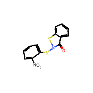 O=c1c2ccccc2sn1Sc1ccccc1[N+](=O)[O-]